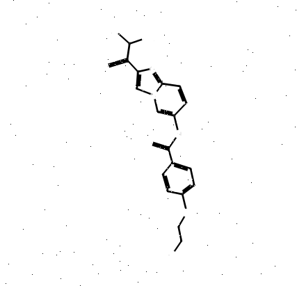 CC(C)C(=O)c1cn2cc(NC(=O)c3ccc(OCCO)cc3)ccc2n1